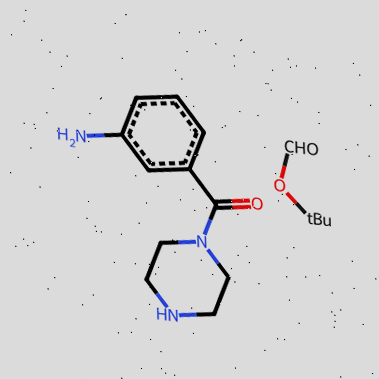 CC(C)(C)OC=O.Nc1cccc(C(=O)N2CCNCC2)c1